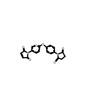 O=C1C=CC(=O)N1c1ccc(Oc2ccc(N3C(=O)CCC3=O)cc2)cc1